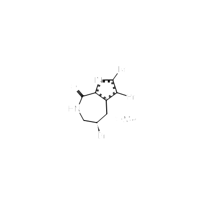 CO[C@H]1c2c([nH]c(Br)c2Br)C(=O)NC[C@@H]1Br